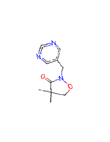 CC1(C)CON(Cc2cncnc2)C1=O